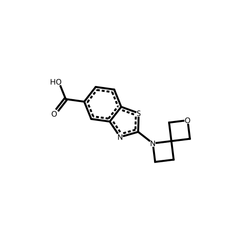 O=C(O)c1ccc2sc(N3CCC34COC4)nc2c1